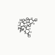 O=C(O)C(C(=O)Oc1ccc(Cl)cc1)(c1ccc(Cl)cc1)c1cccc(C(F)(F)F)c1